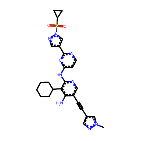 Cn1cc(C#Cc2cnc(Nc3ccnc(-c4cnn(S(=O)(=O)C5CC5)c4)n3)c(C3CCCCC3)c2N)cn1